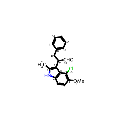 COc1ccc2[nH]c(C)c(C(C=O)Cc3ccccc3)c2c1Cl